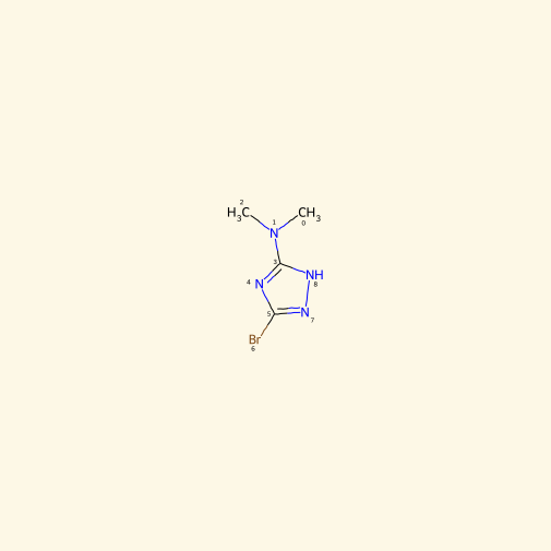 CN(C)c1nc(Br)n[nH]1